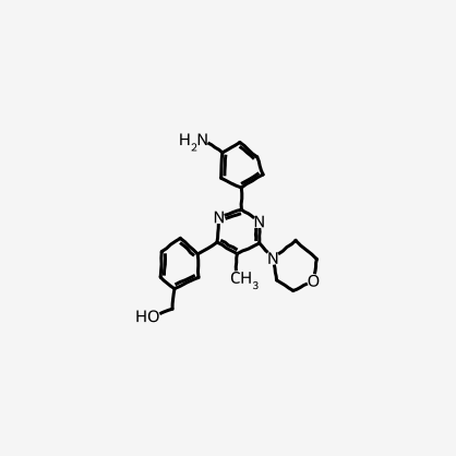 Cc1c(-c2cccc(CO)c2)nc(-c2cccc(N)c2)nc1N1CCOCC1